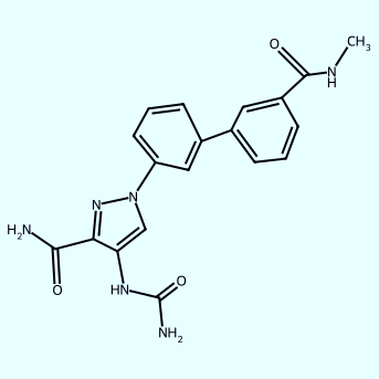 CNC(=O)c1cccc(-c2cccc(-n3cc(NC(N)=O)c(C(N)=O)n3)c2)c1